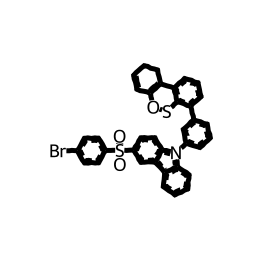 O=S(=O)(c1ccc(Br)cc1)c1ccc2c(c1)c1ccccc1n2-c1cccc(-c2cccc3c2SOC2=C3CCC=C2)c1